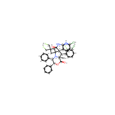 O=C1O[C@@H](c2ccccc2)[C@@H](c2ccccc2)N2[C@@H]1[C@H](c1cccc(Cl)c1F)[C@@]1(C(=O)Nc3nc(Cl)ccc31)C21CC(CF)(CF)C1